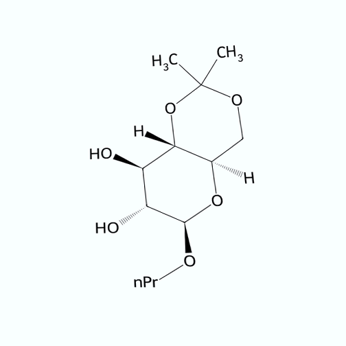 CCCO[C@@H]1O[C@@H]2COC(C)(C)O[C@H]2[C@H](O)[C@H]1O